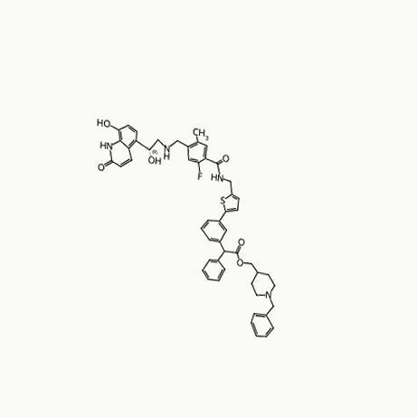 Cc1cc(C(=O)NCc2ccc(-c3cccc(C(C(=O)OCC4CCN(Cc5ccccc5)CC4)c4ccccc4)c3)s2)c(F)cc1CNC[C@H](O)c1ccc(O)c2[nH]c(=O)ccc12